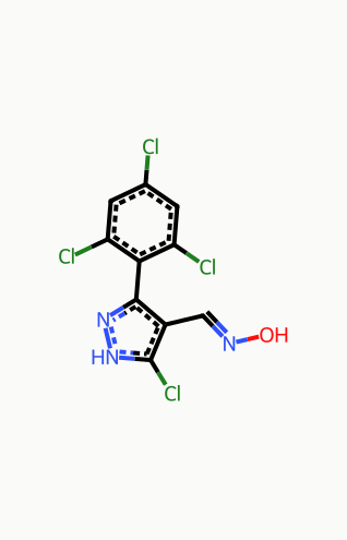 ON=Cc1c(-c2c(Cl)cc(Cl)cc2Cl)n[nH]c1Cl